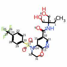 CCC(CO)(CO)NC(=O)c1cnc2c(c1)N(S(=O)(=O)c1ccc(C(F)(F)F)cc1)CCO2